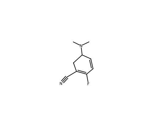 CN(C)C1C=CC(F)=C(C#N)C1